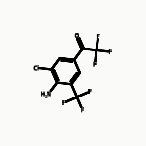 Nc1c(Cl)cc(C(=O)C(F)(F)F)cc1C(F)(F)F